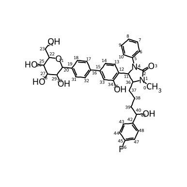 CN1C(=O)N(c2ccccc2)C(c2ccc(-c3ccc(C4OC(CO)C(O)C(O)C4O)cc3)cc2O)C1CCCC(O)c1ccc(F)cc1